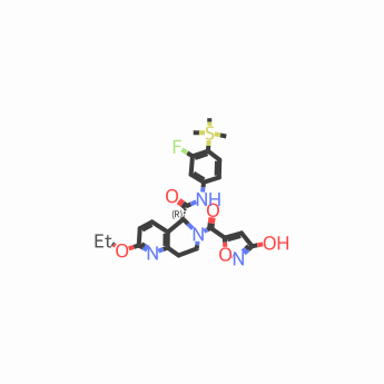 CCOc1ccc2c(n1)CCN(C(=O)c1cc(O)no1)[C@H]2C(=O)Nc1ccc(S(C)(C)C)c(F)c1